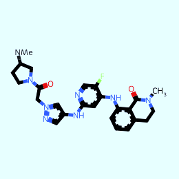 CNC1CCN(C(=O)Cn2cc(Nc3cc(Nc4cccc5c4C(=O)N(C)CC5)c(F)cn3)cn2)C1